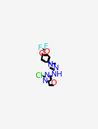 FC1(F)Oc2ccc(-n3cnc(Nc4nc(Cl)nc5ccoc45)c3)cc2O1